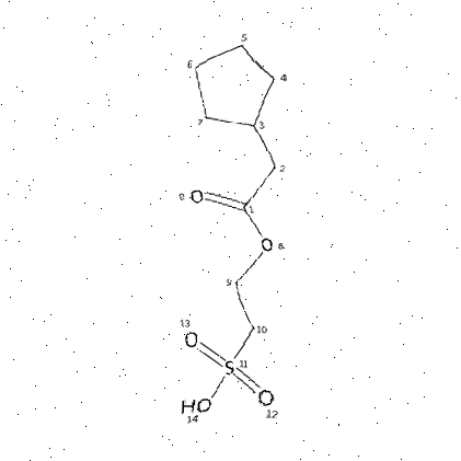 O=C(CC1CCCC1)OCCS(=O)(=O)O